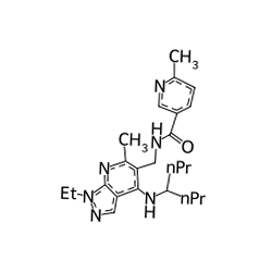 CCCC(CCC)Nc1c(CNC(=O)c2ccc(C)nc2)c(C)nc2c1cnn2CC